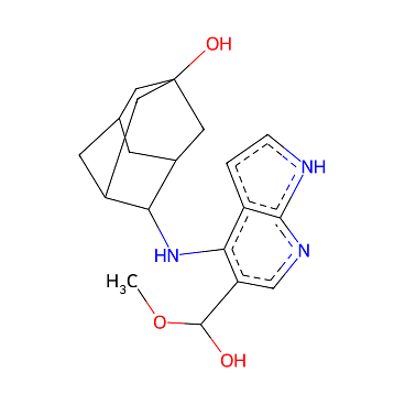 COC(O)c1cnc2[nH]ccc2c1NC1C2CC3CC1CC(O)(C3)C2